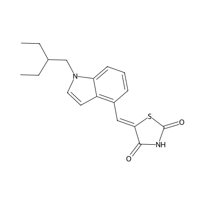 CCC(CC)Cn1ccc2c(C=C3SC(=O)NC3=O)cccc21